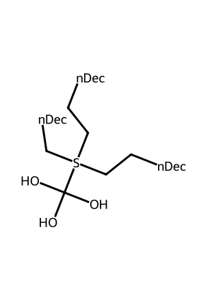 CCCCCCCCCCCCS(CCCCCCCCCCC)(CCCCCCCCCCCC)C(O)(O)O